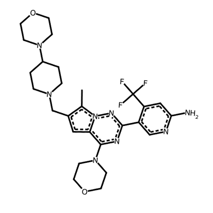 Cc1c(CN2CCC(N3CCOCC3)CC2)cc2c(N3CCOCC3)nc(-c3cnc(N)cc3C(F)(F)F)nn12